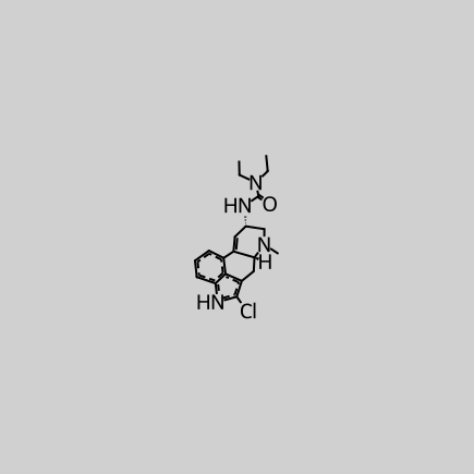 CCN(CC)C(=O)N[C@H]1C=C2c3cccc4[nH]c(Cl)c(c34)C[C@H]2N(C)C1